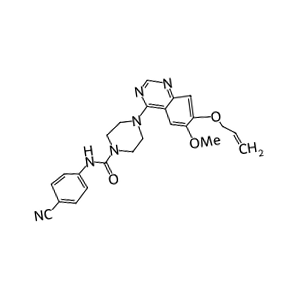 C=CCOc1cc2ncnc(N3CCN(C(=O)Nc4ccc(C#N)cc4)CC3)c2cc1OC